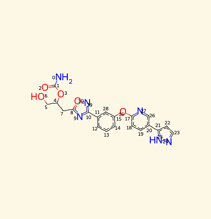 NC(=O)OC(CO)Cc1nc(-c2cccc(Oc3ccc(-c4ccn[nH]4)cn3)c2)no1